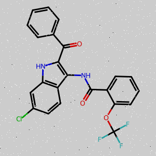 O=C(Nc1c(C(=O)c2ccccc2)[nH]c2cc(Cl)ccc12)c1ccccc1OC(F)(F)F